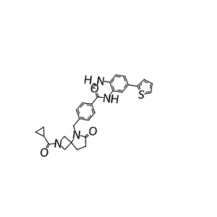 Nc1ccc(-c2cccs2)cc1NC(=O)c1ccc(CN2C(=O)CCC23CN(C(=O)C2CC2)C3)cc1